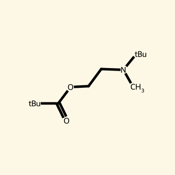 CN(CCOC(=O)C(C)(C)C)C(C)(C)C